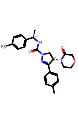 Cc1ccc(C2=NN(C(=O)N[C@H](C)c3ccc(C(F)(F)F)cc3)C[C@@H]2N2CCOCC2=O)cc1